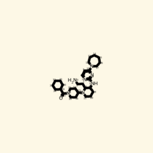 NCCC1C(Nc2nccc(N3CCCCCC3)n2)CCCN1C1CCN(C(=O)C2CCCCC2)CC1